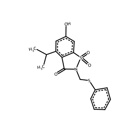 CC(C)c1cc(O)cc2c1C(=O)N(CSc1ccccc1)S2(=O)=O